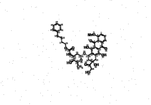 COc1cccc2c1C(=O)c1c(O)c3c(c(O)c1C2=O)C[C@@](O)(C(=O)CO)C[C@@H]3O[C@H]1C[C@H](NC(=O)OCCSSc2ccccn2)[C@H](O)[C@H](C)O1